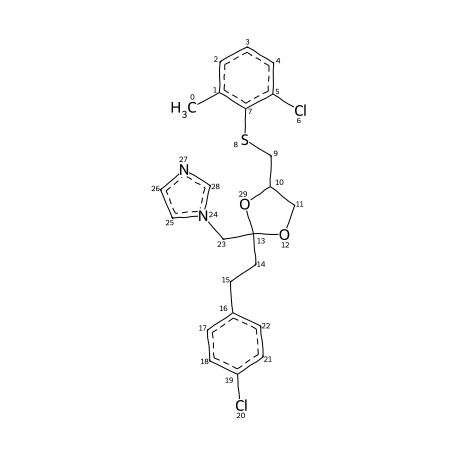 Cc1cccc(Cl)c1SCC1COC(CCc2ccc(Cl)cc2)(Cn2ccnc2)O1